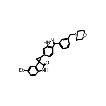 CCc1ccc2c(c1)C1(CC1c1ccc3c(-c4cccc(CN5CCOCC5)c4)n[nH]c3c1)C(=O)N2